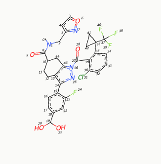 CN(Cc1ccon1)C(=O)C1CCc2c(-c3ccc(C(O)O)cc3F)nn(C(=O)c3c(Cl)cccc3C3(C(F)(F)F)CC3)c2C1